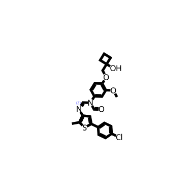 COc1cc(N(C=O)/C=N\c2cc(-c3ccc(Cl)cc3)sc2C)ccc1OCC1(O)CCC1